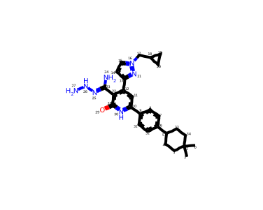 CC1(C)CCC(c2ccc(-c3cc(-c4ccn(CC5CC5)n4)c(/C(N)=N/NN)c(=O)[nH]3)cc2)CC1